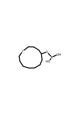 OB(O)OC1CCCCCCCCCCC1